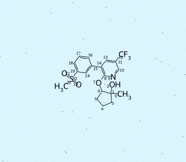 CC1(O)CCCC1Oc1ncc(C(F)(F)F)cc1-c1cccc(S(C)(=O)=O)c1